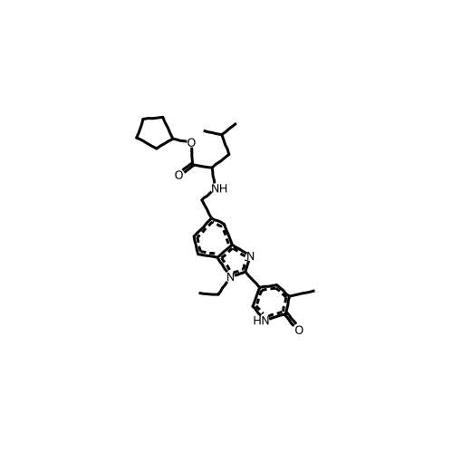 CCn1c(-c2c[nH]c(=O)c(C)c2)nc2cc(CNC(CC(C)C)C(=O)OC3CCCC3)ccc21